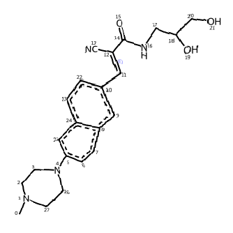 CN1CCN(c2ccc3cc(/C=C(\C#N)C(=O)NCC(O)CO)ccc3c2)CC1